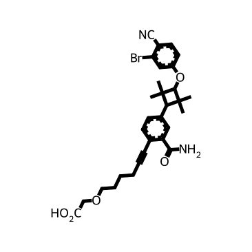 CC1(C)C(Oc2ccc(C#N)c(Br)c2)C(C)(C)C1c1ccc(C#CCCCCOCC(=O)O)c(C(N)=O)c1